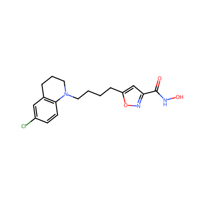 O=C(NO)c1cc(CCCCN2CCCc3cc(Cl)ccc32)on1